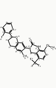 COc1ncc(C(F)(F)F)c2c1NC(=O)N(c1cc3c(cc1C)CCC(c1ncccc1F)O3)C2